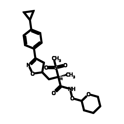 C[C@@](CC1CC(c2ccc(C3CC3)cc2)=NO1)(C(=O)NOC1CCCCO1)S(C)(=O)=O